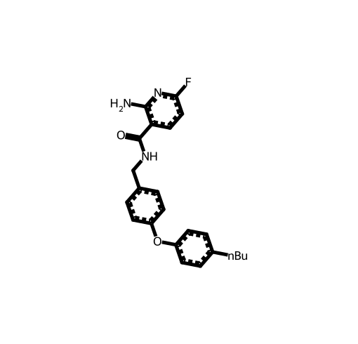 CCCCc1ccc(Oc2ccc(CNC(=O)c3ccc(F)nc3N)cc2)cc1